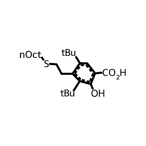 CCCCCCCCSCCc1c(C(C)(C)C)cc(C(=O)O)c(O)c1C(C)(C)C